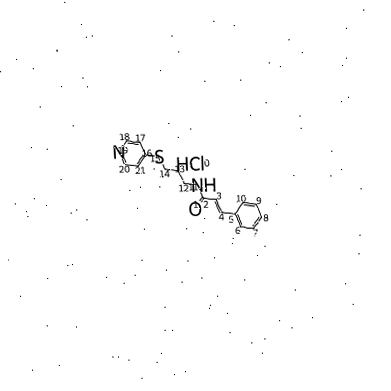 Cl.O=C(C=Cc1ccccc1)NCCCSc1ccncc1